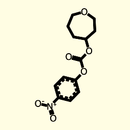 O=C(Oc1ccc([N+](=O)[O-])cc1)OC1CCCOCC1